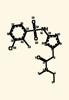 CCN(C)C(=O)Cc1cnc(NS(=O)(=O)c2cccc(Cl)c2C)s1